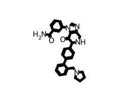 NC(=O)c1cccc(-n2cnc3c2C(=O)C(c2ccc(-c4ccccc4CN4CCCC4)cc2)NC3)c1